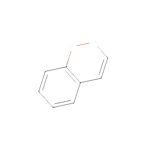 [c]1cccc2c1C=COO2